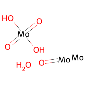 O.[Mo].[O]=[Mo].[O]=[Mo](=[O])([OH])[OH]